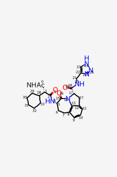 CC(=O)N[C@H](C(=O)N[C@H]1CCc2cccc3c2N(C1=O)[C@H](C(=O)NCc1c[nH]nn1)C3)C1CCCCC1